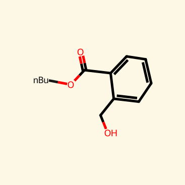 CCCCOC(=O)c1ccccc1CO